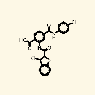 O=C(Nc1ccc(Cl)cc1)c1ccc(C(=O)O)c(NC(=O)C2Sc3ccccc3C2Cl)c1